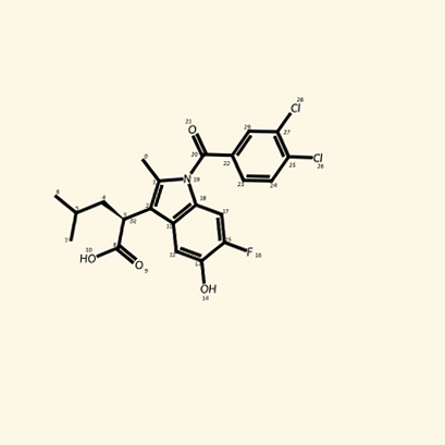 Cc1c([C@H](CC(C)C)C(=O)O)c2cc(O)c(F)cc2n1C(=O)c1ccc(Cl)c(Cl)c1